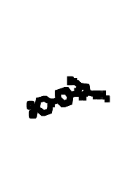 Nc1cc(Br)n(-c2ccc(N3CCS(=O)(=O)CC3)cc2)n1